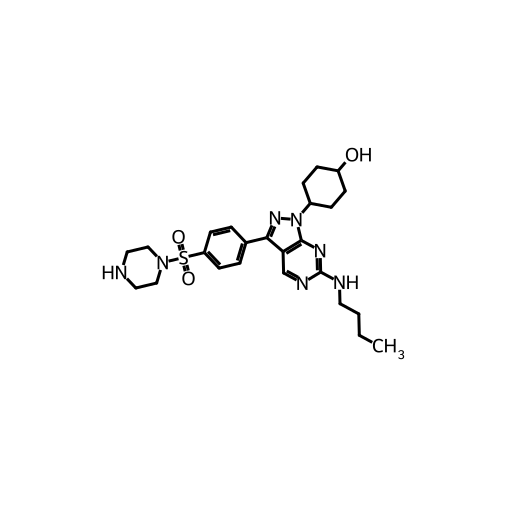 CCCCNc1ncc2c(-c3ccc(S(=O)(=O)N4CCNCC4)cc3)nn(C3CCC(O)CC3)c2n1